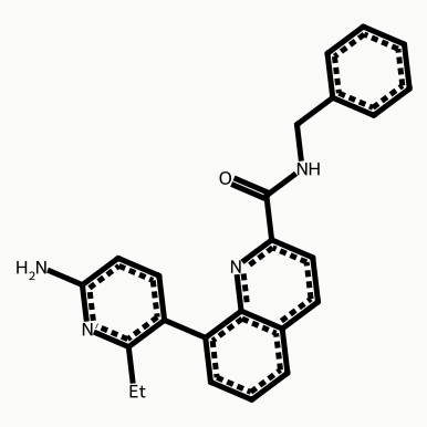 CCc1nc(N)ccc1-c1cccc2ccc(C(=O)NCc3ccccc3)nc12